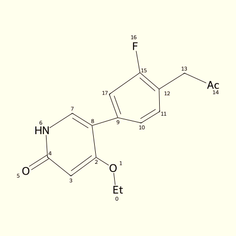 CCOc1cc(=O)[nH]cc1-c1ccc(CC(C)=O)c(F)c1